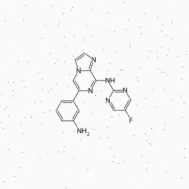 Nc1cccc(-c2cn3ccnc3c(Nc3ncc(F)cn3)n2)c1